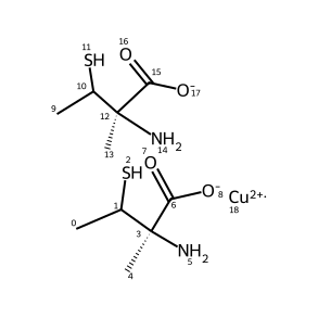 CC(S)[C@](C)(N)C(=O)[O-].CC(S)[C@](C)(N)C(=O)[O-].[Cu+2]